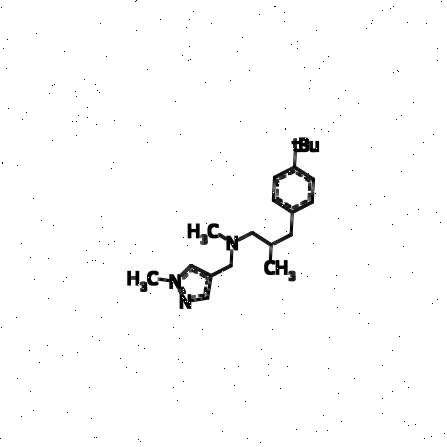 CC(Cc1ccc(C(C)(C)C)cc1)CN(C)Cc1cnn(C)c1